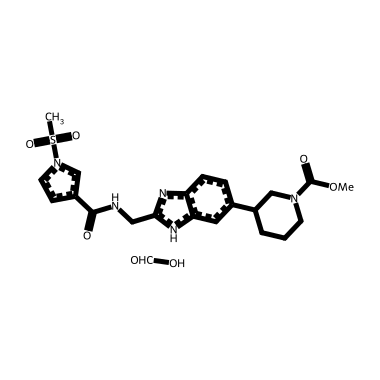 COC(=O)N1CCCC(c2ccc3nc(CNC(=O)c4ccn(S(C)(=O)=O)c4)[nH]c3c2)C1.O=CO